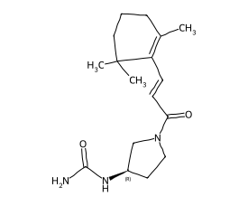 CC1=C(C=CC(=O)N2CC[C@@H](NC(N)=O)C2)C(C)(C)CCC1